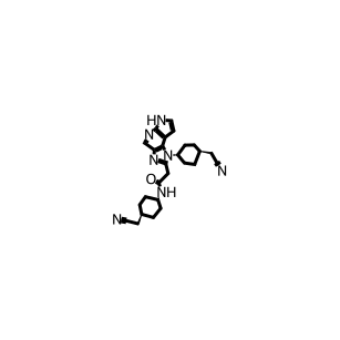 N#CC[C@H]1CC[C@H](NC(=O)Cc2nc3cnc4[nH]ccc4c3n2[C@H]2CC[C@H](CC#N)CC2)CC1